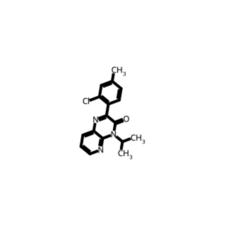 Cc1ccc(-c2nc3cccnc3n(C(C)C)c2=O)c(Cl)c1